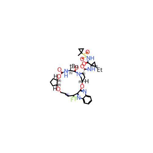 CC[C@@H]1C[C@]1(NC(=O)[C@@H]1C[C@@H]2CN1C(=O)[C@H](C(C)(C)C)NC(=O)O[C@@H]1CCC[C@H]1OC/C=C/C(F)(F)c1nc3ccccc3nc1O2)C(=O)NS(=O)(=O)C1(C)CC1